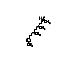 CC(C)=CCC/C(C)=C/CC/C(C)=C/CCc1ccc(C)cc1